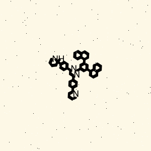 CC1(c2ccc(-c3cc(-c4ccc(-c5ccccn5)cc4)nc(-c4cc(-c5cccc6ccccc56)cc(C5CC=Cc6ccccc65)c4)n3)cc2)C=CC=CN1